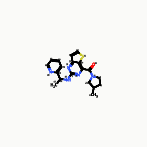 CC1CCN(C(=O)c2nc(NC(C)c3ccccn3)nc3ccsc23)C1